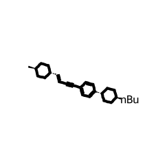 CCCC[C@H]1CC[C@H](c2ccc(C#CC=C[C@H]3CC[C@H](C)CC3)cc2)CC1